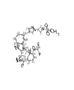 CS(=O)(=O)N1CC(n2cc(-c3ccc4nc5n(c4c3)[C@@H]3C[C@H]5NC(=O)c4cccc(OC(F)F)c43)cn2)C1